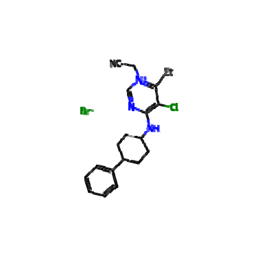 CCc1c(Cl)c(NC2CCC(c3ccccc3)CC2)nc[n+]1CC#N.[Br-]